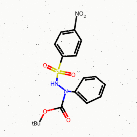 CC(C)(C)OC(=O)N(NS(=O)(=O)c1ccc([N+](=O)[O-])cc1)c1ccccc1